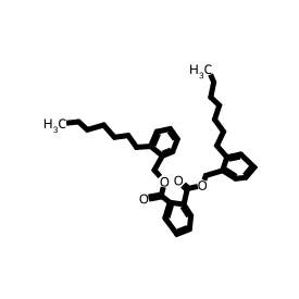 CCCCCCCc1ccccc1COC(=O)c1ccccc1C(=O)OCc1ccccc1CCCCCCC